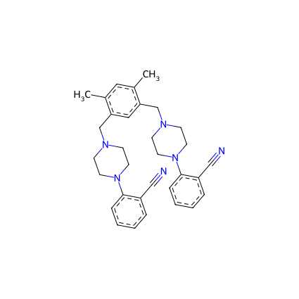 Cc1cc(C)c(CN2CCN(c3ccccc3C#N)CC2)cc1CN1CCN(c2ccccc2C#N)CC1